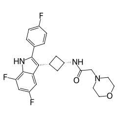 O=C(CN1CCOCC1)N[C@H]1C[C@@H](c2c(-c3ccc(F)cc3)[nH]c3c(F)cc(F)cc32)C1